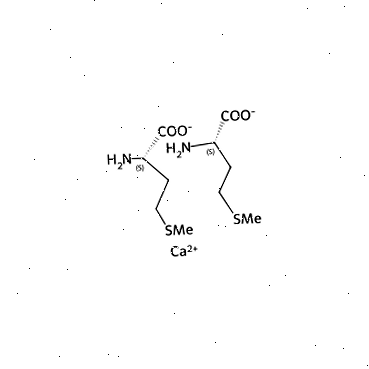 CSCC[C@H](N)C(=O)[O-].CSCC[C@H](N)C(=O)[O-].[Ca+2]